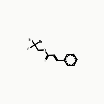 O=C(C=Cc1ccccc1)OCC(Br)(Br)Br